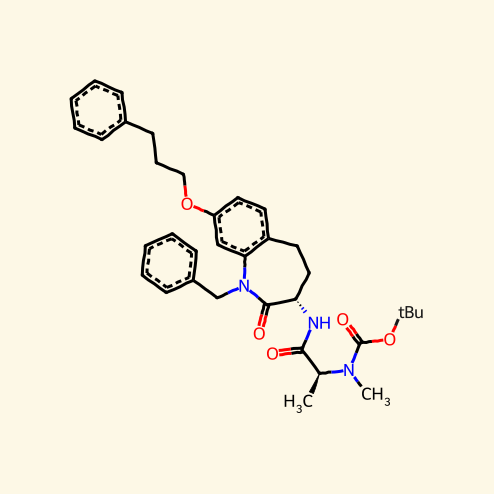 C[C@@H](C(=O)N[C@H]1CCc2ccc(OCCCc3ccccc3)cc2N(Cc2ccccc2)C1=O)N(C)C(=O)OC(C)(C)C